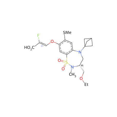 CCOC[C@H]1CN(C23CC(C2)C3)c2cc(SC)c(O/C=C(\F)C(=O)O)cc2S(=O)(=O)N1C